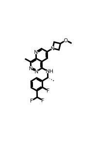 COC1CN(c2cnc3c(C)nnc(N[C@H](C)c4cccc(C(F)F)c4F)c3c2)C1